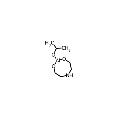 CC(C)[O][Al]1[O]CCNCC[O]1